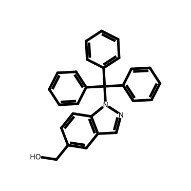 OCc1ccc2c(cnn2C(c2ccccc2)(c2ccccc2)c2ccccc2)c1